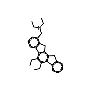 CCc1c(CC)c2c(c3c1-c1ccccc1C3)Cc1c(CN(CC)CC)cccc1-2